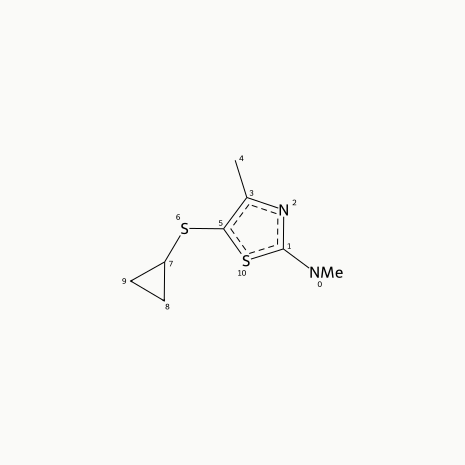 CNc1nc(C)c(SC2CC2)s1